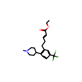 CCOC(=O)/C=C/CCc1cc(C(F)(F)F)ccc1C1CCN(C)CC1